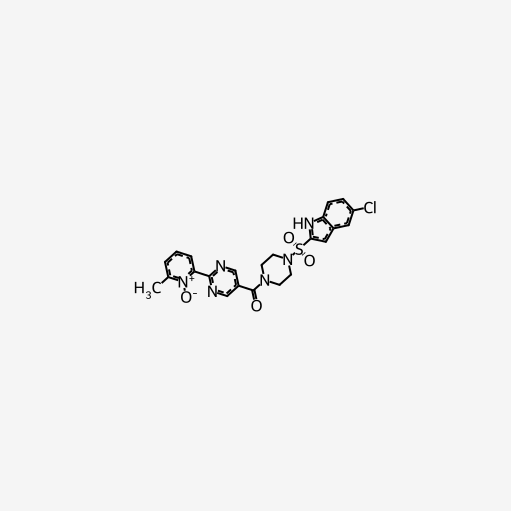 Cc1cccc(-c2ncc(C(=O)N3CCN(S(=O)(=O)c4cc5cc(Cl)ccc5[nH]4)CC3)cn2)[n+]1[O-]